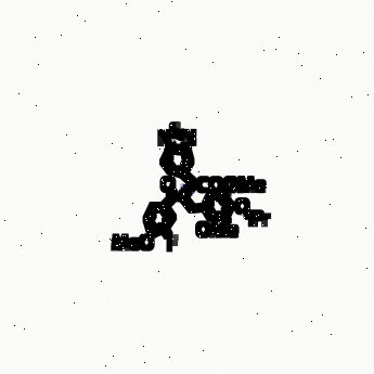 COc1ccc(C(=O)/C(Cc2cc(OC)c(OC(C)C)c(OC)c2)=C(/C(=O)O)c2ccc3nsnc3c2)cc1F